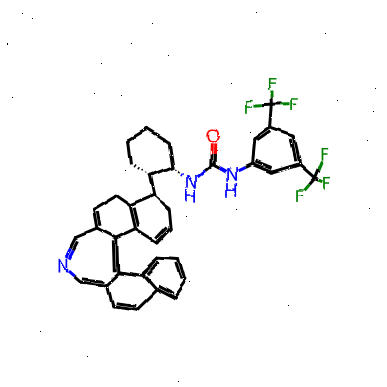 O=C(Nc1cc(C(F)(F)F)cc(C(F)(F)F)c1)N[C@H]1CCCC[C@H]1[C@H]1CC=CC2=C1CC=C1C=NC=c3ccc4ccccc4c3=C12